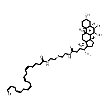 CC/C=C\C/C=C\C/C=C\C/C=C\C/C=C\CCCC(=O)NCCOCCNC(=O)CC[C@@H](C)C1CC[C@H]2[C@@H]3[C@H](O)[C@H](CC)[C@@H]4C[C@H](O)CC[C@]4(C)[C@H]3CC[C@]12C